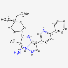 COC[C@]1(C(=O)O)CC[C@H](c2nc3c(-c4ccc(-c5ccccc5)nc4)cnn3c(N)c2C(C)=O)CC1